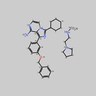 Nc1nccn2c(C3CCCCC3)nc(-c3cccc(OCc4ccccc4)c3)c12.O=C(O)NCCN1CCCC1